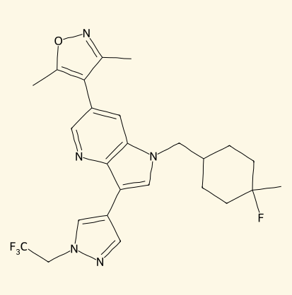 Cc1noc(C)c1-c1cnc2c(-c3cnn(CC(F)(F)F)c3)cn(CC3CCC(C)(F)CC3)c2c1